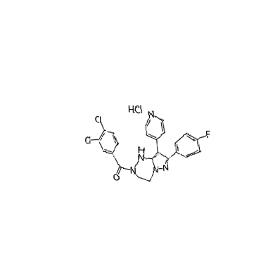 Cl.O=C(c1ccc(Cl)c(Cl)c1)N1CCn2nc(-c3ccc(F)cc3)c(-c3ccncc3)c2N1